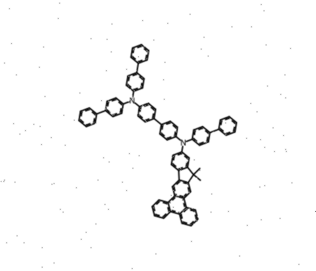 CC1(C)c2cc(N(c3ccc(-c4ccccc4)cc3)c3ccc(-c4ccc(N(c5ccc(-c6ccccc6)cc5)c5ccc(-c6ccccc6)cc5)cc4)cc3)ccc2-c2cc3c4ccccc4c4ccccc4c3cc21